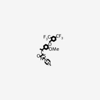 COc1cc(C(C)=C=C2SC(N3CCN(C)CC3)=NC2=O)ccc1OCc1ccc(C(F)(F)F)cc1C(F)(F)F